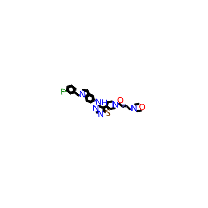 O=C(/C=C/CN1CCOCC1)N1CCc2c(sc3ncnc(Nc4ccc5c(ccn5Cc5cccc(F)c5)c4)c23)C1